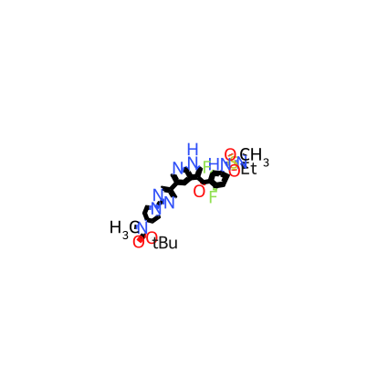 CCN(C)S(=O)(=O)Nc1ccc(F)c(C(=O)c2c[nH]c3ncc(-c4cnc(N5CCC(N(C)C(=O)OC(C)(C)C)CC5)nc4)cc23)c1F